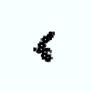 CP(=O)(O)Cc1ccc(-c2cnc(N)c(N(N)C(Cl)c3ccc4ncccc4c3)n2)cc1